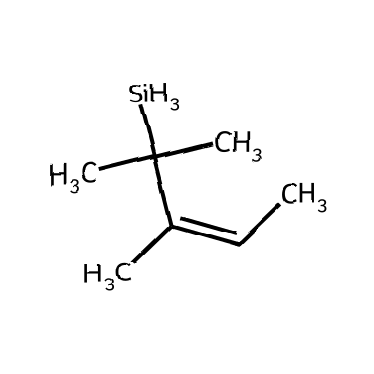 CC=C(C)C(C)(C)[SiH3]